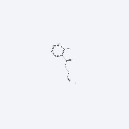 C=CCNC(=O)c1cccnc1C(F)(F)F